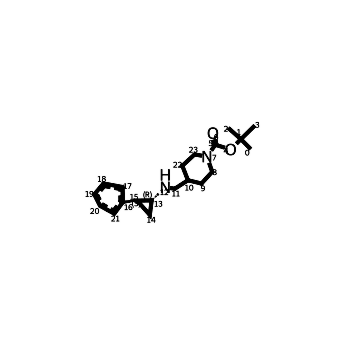 CC(C)(C)OC(=O)N1CCC(CN[C@@H]2C[C@H]2c2ccccc2)CC1